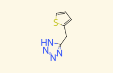 c1csc(Cc2nnn[nH]2)c1